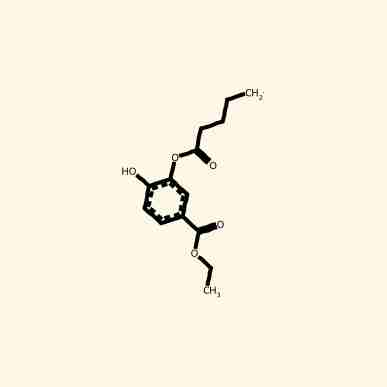 [CH2]CCCC(=O)Oc1cc(C(=O)OCC)ccc1O